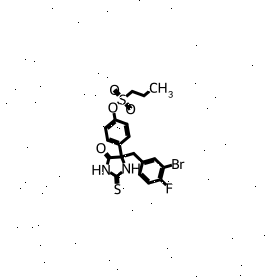 CCCS(=O)(=O)Oc1ccc(C2(Cc3ccc(F)c(Br)c3)NC(=S)NC2=O)cc1